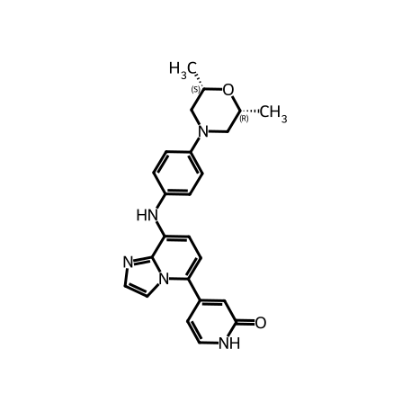 C[C@@H]1CN(c2ccc(Nc3ccc(-c4cc[nH]c(=O)c4)n4ccnc34)cc2)C[C@H](C)O1